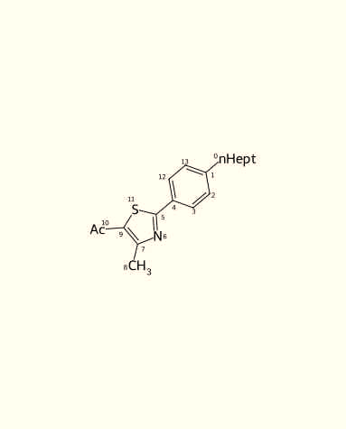 CCCCCCCc1ccc(-c2nc(C)c(C(C)=O)s2)cc1